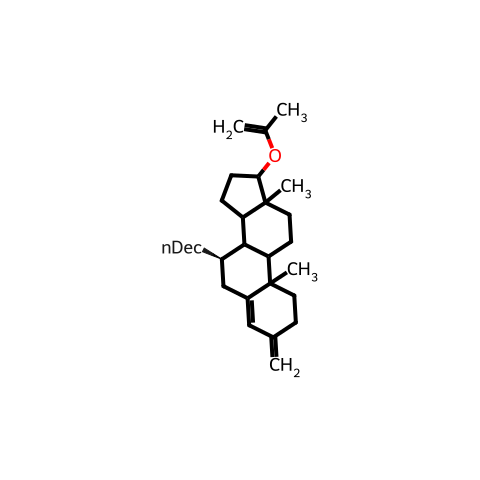 C=C1C=C2C[C@@H](CCCCCCCCCC)C3C(CCC4(C)C(OC(=C)C)CCC34)C2(C)CC1